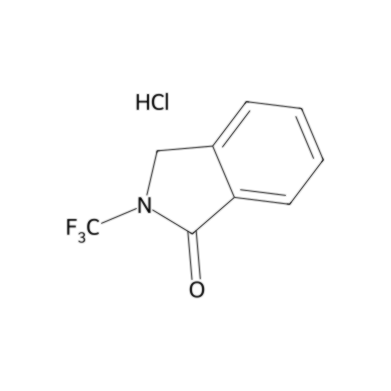 Cl.O=C1c2ccccc2CN1C(F)(F)F